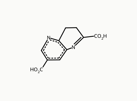 O=C(O)C1=Nc2cc(C(=O)O)cnc2CC1